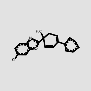 FC(F)(F)C1(c2nc3ccc(Cl)cc3o2)C=CC(c2ccccc2)=CC1